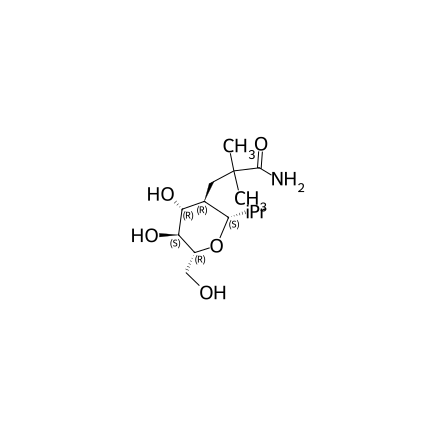 CC(C)[C@@H]1O[C@H](CO)[C@@H](O)[C@H](O)[C@H]1CC(C)(C)C(N)=O